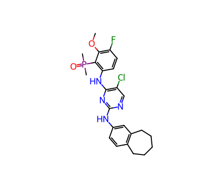 COc1c(F)ccc(Nc2nc(Nc3ccc4c(c3)CCCCC4)ncc2Cl)c1P(C)(C)=O